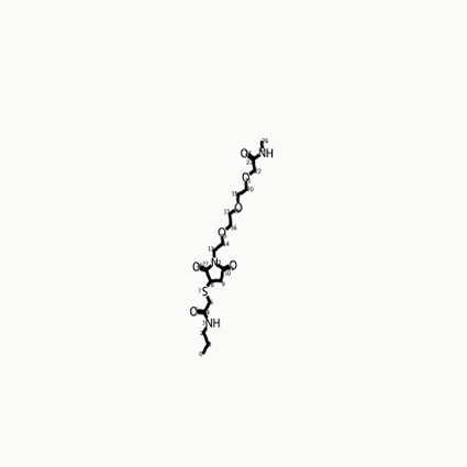 CCCNC(=O)CSC1CC(=O)N(CCOCCOCCOCC(=O)NC)C1=O